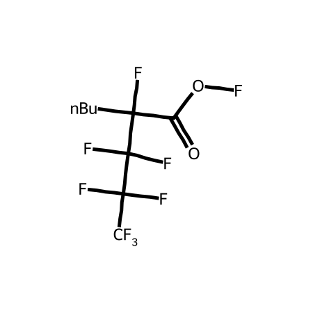 CCCCC(F)(C(=O)OF)C(F)(F)C(F)(F)C(F)(F)F